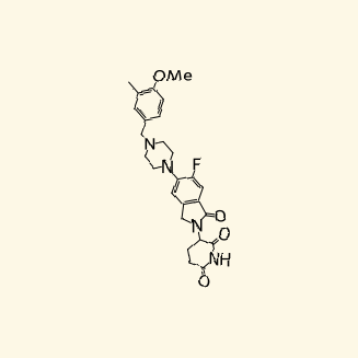 COc1ccc(CN2CCN(c3cc4c(cc3F)C(=O)N(C3CCC(=O)NC3=O)C4)CC2)cc1C